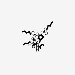 CCCCCOC(=O)Oc1ccc(C[C@](NC(C)CC)(OC(=O)OCCCC)C(=O)O)cc1OC(=O)OCCCCC